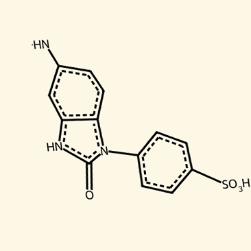 [NH]c1ccc2c(c1)[nH]c(=O)n2-c1ccc(S(=O)(=O)O)cc1